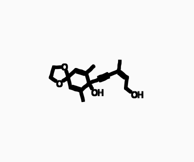 CC1=CC2(C=C(C)C1(O)C#C/C(C)=C\CO)OCCO2